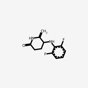 C=C1NC(=O)CCC1Nc1c(F)cccc1F